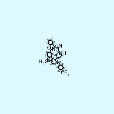 Cn1c2c(c3cc(C(=O)NC(C#N)c4ccccc4)ccc31)C(C1CCNCC1)N(Cc1ccc(C(F)(F)F)cc1)CC2